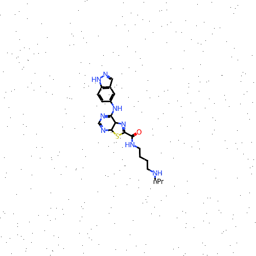 CCCNCCCCNC(=O)C1=NC2C(Nc3ccc4[nH]ncc4c3)=NC=NC2S1